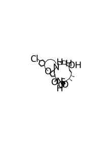 C[C@@H]1/C=C/[C@@H](O)[C@H]2CC[C@H]2CN2CCCCc3cc(Cl)ccc3COc3ccc(cc32)C(=O)NS(=O)(=O)C[C@@H]1C